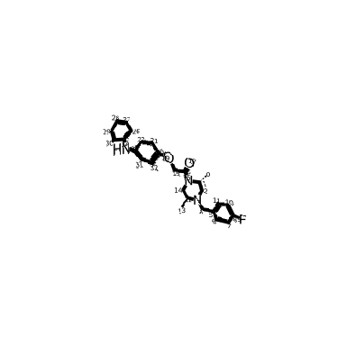 C[C@@H]1CN(Cc2ccc(F)cc2)[C@@H](C)CN1C(=O)COc1ccc(Nc2ccccc2)cc1